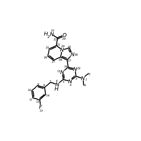 CN(C)c1nc(NCc2cccc(F)c2)nc(-c2ncn3c(C(N)=O)cccc23)n1